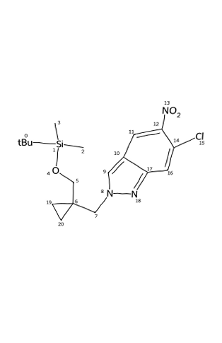 CC(C)(C)[Si](C)(C)OCC1(Cn2cc3cc([N+](=O)[O-])c(Cl)cc3n2)CC1